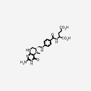 CN1c2c(nc(N)[nH]c2=O)NC[C@@H]1CNc1ccc(C(=O)NC(CCC(=O)O)C(=O)O)cc1